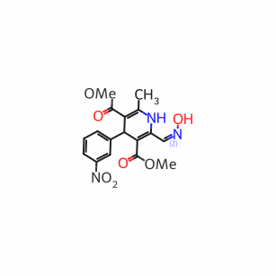 COC(=O)C1=C(C)NC(/C=N\O)=C(C(=O)OC)C1c1cccc([N+](=O)[O-])c1